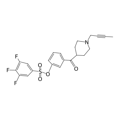 CC#CCN1CCC(C(=O)c2cccc(OS(=O)(=O)c3cc(F)c(F)c(F)c3)c2)CC1